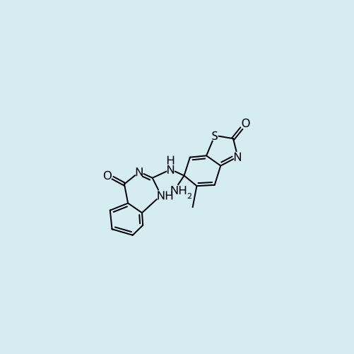 CC1=CC2=NC(=O)SC2=CC1(N)Nc1nc(=O)c2ccccc2[nH]1